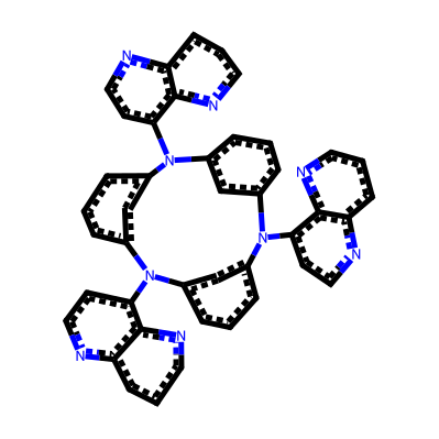 c1cc2cc(c1)N(c1ccnc3cccnc13)c1cccc(c1)N(c1ccnc3cccnc13)c1cccc(c1)N2c1ccnc2cccnc12